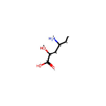 CCC(N)CC(O)C(=O)O